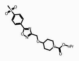 CCCOC(=O)N1CCC(OCc2noc(-c3ccc(S(C)(=O)=O)cc3)n2)CC1